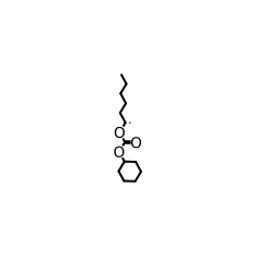 CCCCC[CH]OC(=O)OC1CCCCC1